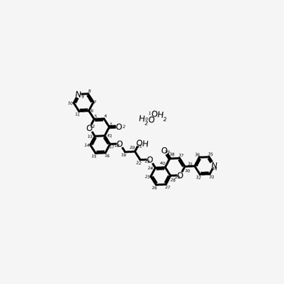 O.O.O=c1cc(-c2ccncc2)oc2cccc(OCC(O)COc3cccc4oc(-c5ccncc5)cc(=O)c34)c12